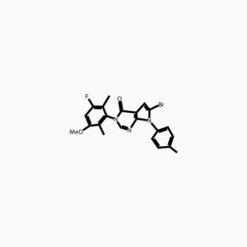 COc1cc(F)c(C)c(-n2cnc3c(cc(Br)n3-c3ccc(C)cc3)c2=O)c1C